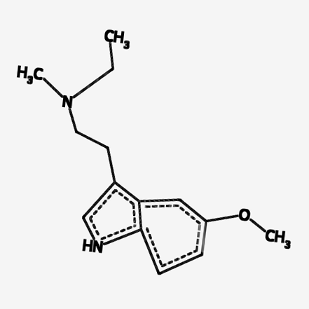 CCN(C)CCc1c[nH]c2ccc(OC)cc12